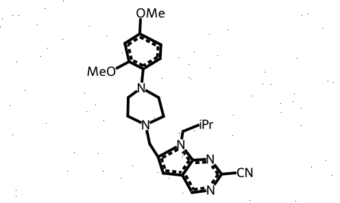 COc1ccc(N2CCN(Cc3cc4cnc(C#N)nc4n3CC(C)C)CC2)c(OC)c1